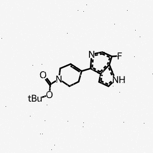 CC(C)(C)OC(=O)N1CC=C(c2ncc(F)c3[nH]ccc23)CC1